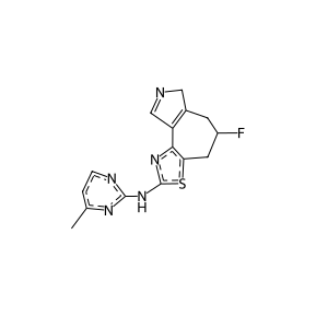 Cc1ccnc(Nc2nc3c(s2)CC(F)CC2=C3C=NC2)n1